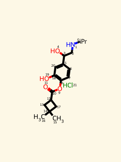 CC(C)NCC(O)c1ccc(OC(=O)C2CC(C)(C)C2)c(O)c1.Cl